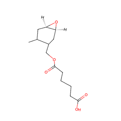 CC1C[C@H]2O[C@H]2CC1COC(=O)CCCCC(=O)O